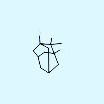 CC12CC3CC(C1)CC(N)(C3)C2(C)C.F